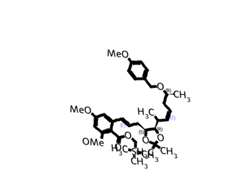 COc1ccc(CO[C@H](C)C/C=C\C(C)[C@H]2OC(C)(C)O[C@H]2C/C=C/c2cc(OC)cc(OC)c2C(=O)OC[Si](C)(C)C)cc1